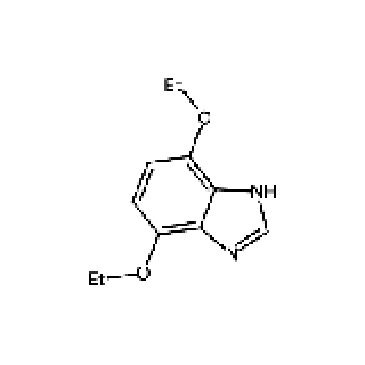 CCOc1ccc(OCC)c2[nH]cnc12